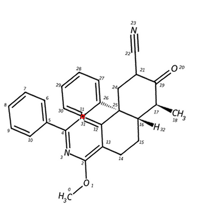 COc1nc(-c2ccccc2)nc2c1CC[C@H]1[C@H](C)C(=O)C(C#N)C[C@]21c1ccccc1